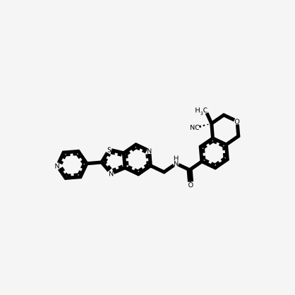 C[C@@]1(C#N)COCc2ccc(C(=O)NCc3cc4nc(-c5ccncc5)sc4cn3)cc21